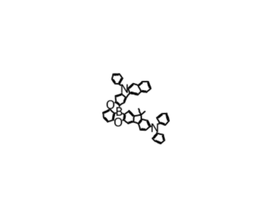 CC1(C)c2cc(N(c3ccccc3)c3ccccc3)ccc2-c2cc3c(cc21)B1c2cc4c5cc6ccccc6cc5n(-c5ccccc5)c4cc2Oc2cccc(c21)O3